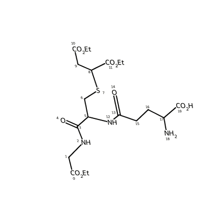 CCOC(=O)CNC(=O)C(CSC(CC(=O)OCC)C(=O)OCC)NC(=O)CCC(N)C(=O)O